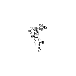 CCCCNC(=N)c1ccc(C(=O)Nc2ccccc2C(=O)Nc2ccc(Br)cn2)cc1